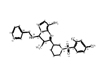 Bc1cnn2c1N=C(C1CCCN(S(=O)(=O)c3ccc(Cl)cc3F)C1)C(C)C2NCc1cccnc1